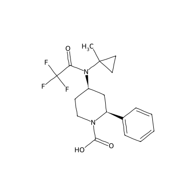 CC1(N(C(=O)C(F)(F)F)[C@@H]2CCN(C(=O)O)[C@H](c3ccccc3)C2)CC1